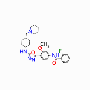 COc1cc(NC(=O)c2ccccc2F)ccc1-c1nnc(N[C@H]2CC[C@H](CN3CCCCC3)CC2)o1